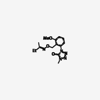 CCC(C)=NOCc1c(OC)cccc1-n1nnn(C)c1=O